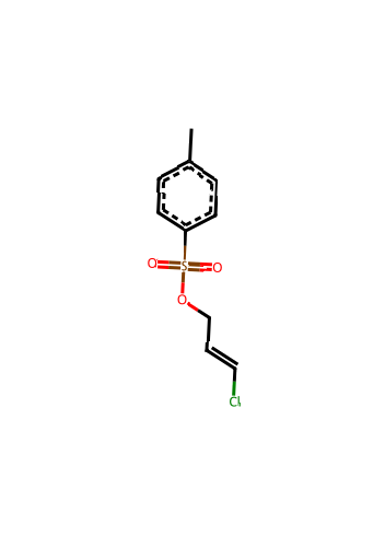 Cc1ccc(S(=O)(=O)OCC=CCl)cc1